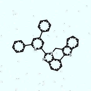 c1ccc(-c2cc(-c3ccccc3)nc(-c3nc4cccc5c4n3Cc3c-5sc4ccccc34)c2)cc1